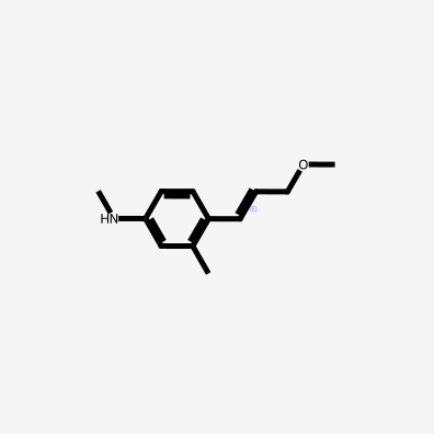 CNc1ccc(/C=C/COC)c(C)c1